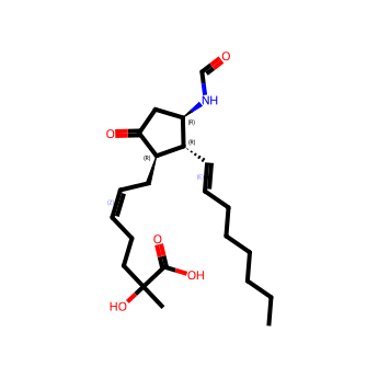 CCCCCC/C=C/[C@H]1[C@H](NC=O)CC(=O)[C@@H]1C/C=C\CCC(C)(O)C(=O)O